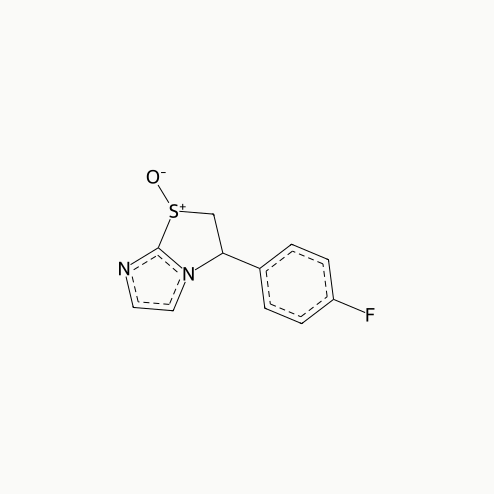 [O-][S+]1CC(c2ccc(F)cc2)n2ccnc21